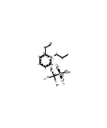 CCC[n+]1ccccc1CC.O=S(=O)([O-])C(F)(F)F